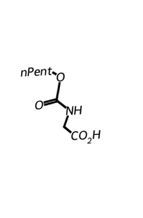 CCCCCOC(=O)NCC(=O)O